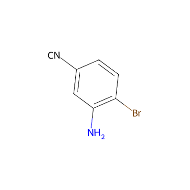 [C-]#[N+]c1ccc(Br)c(N)c1